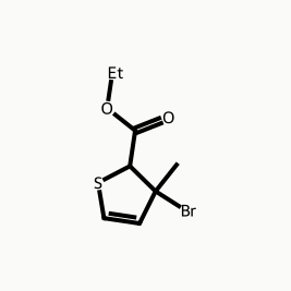 CCOC(=O)C1SC=CC1(C)Br